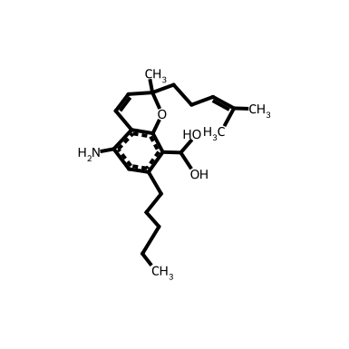 CCCCCc1cc(N)c2c(c1C(O)O)OC(C)(CCC=C(C)C)C=C2